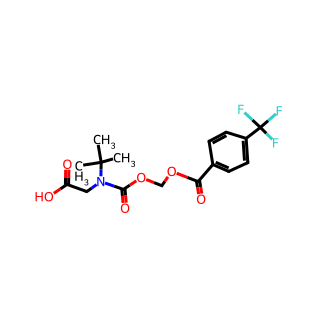 CC(C)(C)N(CC(=O)O)C(=O)OCOC(=O)c1ccc(C(F)(F)F)cc1